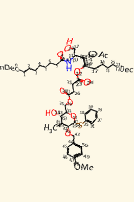 CCCCCCCCCCCCCCCCCC(=O)N[C@@H](CO)[C@H](OC(C)=O)[C@@H](CCCCCCCCCCCCCC)OC(=O)CCC(=O)OCC1O[C@@H](Sc2ccccc2)C(OCc2ccc(OC)cc2)[C@@H](C)[C@@H]1O